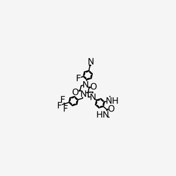 CNC(=O)c1ccc(N2CC3(C2)C(=O)N(c2ccc(C#N)cc2F)CC(=O)N3Cc2ccc(C(F)(F)F)cc2)cc1NC